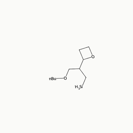 CCCCOCC(C[SiH3])C1CCO1